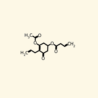 C=CCC(=O)OC1CC(=O)C(CC=C)=C(OC(C)=O)C1